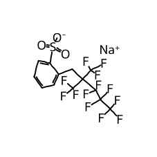 O=S(=O)([O-])c1ccccc1CC(C(F)(F)F)(C(F)(F)F)C(F)(F)C(F)(F)C(F)(F)F.[Na+]